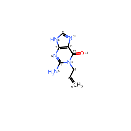 C=CCn1c(N)nc2[nH]cnc2c1=O